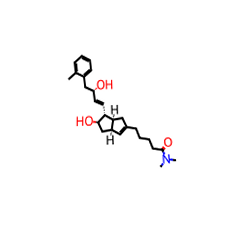 Cc1ccccc1C[C@H](O)/C=C/[C@@H]1[C@H]2CC(CCCCC(=O)N(C)C)=C[C@H]2C[C@H]1O